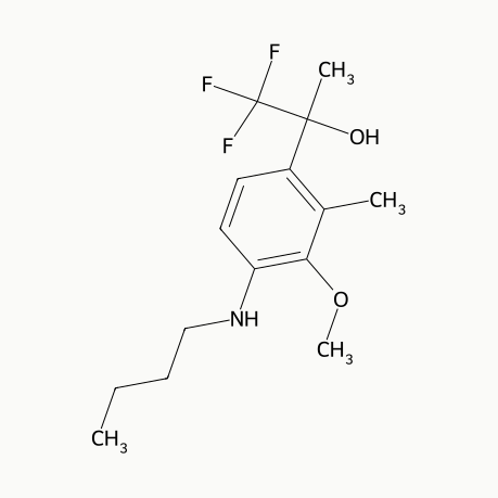 CCCCNc1ccc(C(C)(O)C(F)(F)F)c(C)c1OC